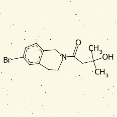 CC(C)(O)CC(=O)N1CCc2cc(Br)ccc2C1